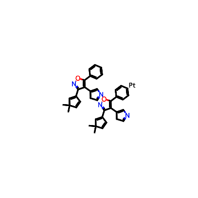 CC1(C)C=CC(c2noc(-c3ccccc3)c2C2=CN=CC2)=C1.CC1(C)C=CC(c2noc(-c3ccccc3)c2C2=CN=CC2)=C1.[Pt]